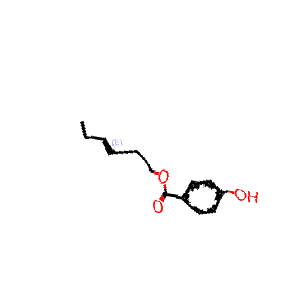 CC/C=C/CCOC(=O)c1ccc(O)cc1